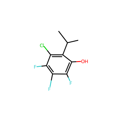 CC(C)c1c(O)c(F)c(F)c(F)c1Cl